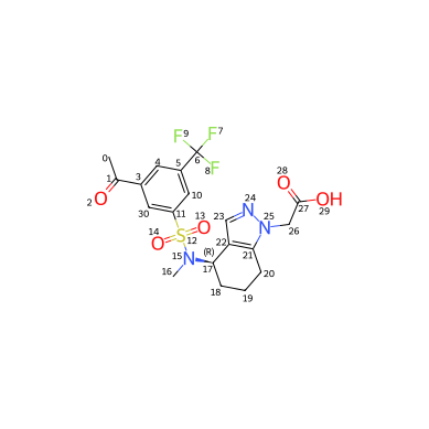 CC(=O)c1cc(C(F)(F)F)cc(S(=O)(=O)N(C)[C@@H]2CCCc3c2cnn3CC(=O)O)c1